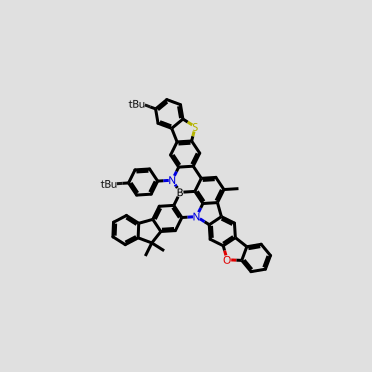 Cc1cc2c3c4c1c1cc5c(cc1n4-c1cc4c(cc1B3N(c1ccc(C(C)(C)C)cc1)c1cc3c(cc1-2)sc1ccc(C(C)(C)C)cc13)-c1ccccc1C4(C)C)oc1ccccc15